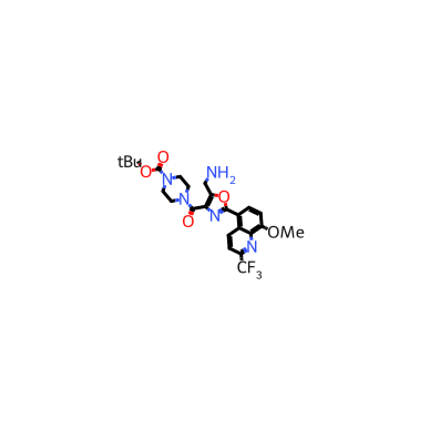 COc1ccc(-c2nc(C(=O)N3CCN(C(=O)OC(C)(C)C)CC3)c(CN)o2)c2ccc(C(F)(F)F)nc12